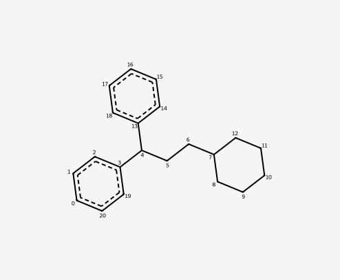 c1ccc(C(CCC2CCCCC2)c2ccccc2)cc1